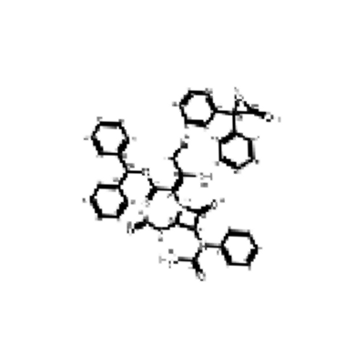 CC(=O)N(c1ccccc1)C1C(=O)N(C(C(=O)OC(c2ccccc2)c2ccccc2)=C(O)CBr)C1SC=O.O=C1OC1(c1ccccc1)c1ccccc1